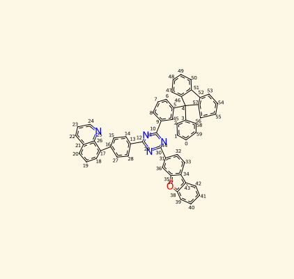 c1ccc(C2(c3cccc(-c4nc(-c5ccc(-c6cccc7cccnc67)cc5)nc(-c5ccc6c(c5)oc5ccccc56)n4)c3)c3ccccc3-c3ccccc32)cc1